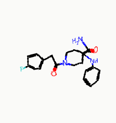 NC(=O)C1(Nc2ccccc2)CCN(C(=O)Cc2ccc(F)cc2)CC1